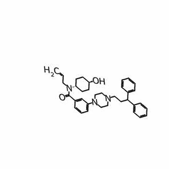 C=CCN(C(=O)c1cccc(N2CCN(CCC(c3ccccc3)c3ccccc3)CC2)c1)[C@H]1CC[C@H](O)CC1